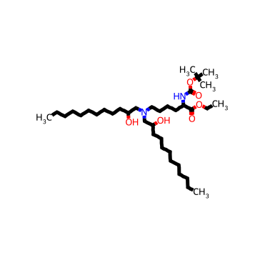 CCCCCCCCCCC(O)CN(CCCCC(NC(=O)OC(C)(C)C)C(=O)OCC)CC(O)CCCCCCCCCC